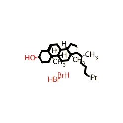 Br.Br.CC(C)CCC[C@@H](C)[C@H]1CC[C@H]2[C@@H]3CC=C4C[C@@H](O)CC[C@]4(C)[C@H]3CC[C@]12C